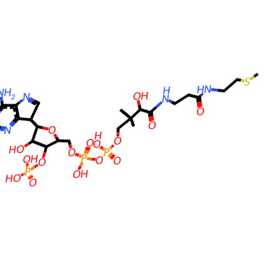 CSCCNC(=O)CCNC(=O)C(O)C(C)(C)COP(=O)(O)OP(=O)(O)OCC1OC(C2C=Nc3c(N)ncnc32)C(O)C1OP(=O)(O)O